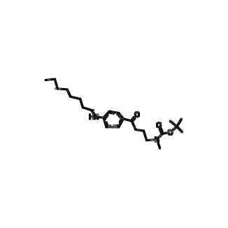 CC[CH]CCCC[CH]Nc1ccc(C(=O)CCCN(C)C(=O)OC(C)(C)C)cc1